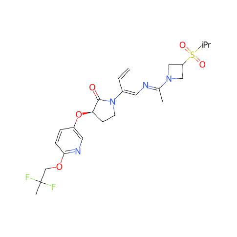 C=C/C(=C\N=C(/C)N1CC(S(=O)(=O)C(C)C)C1)N1CC[C@@H](Oc2ccc(OCC(C)(F)F)nc2)C1=O